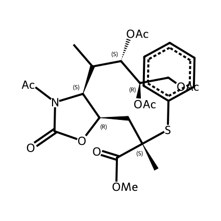 COC(=O)[C@](C)(C[C@H]1OC(=O)N(C(C)=O)[C@H]1C(C)[C@H](OC(C)=O)[C@@H](COC(C)=O)OC(C)=O)Sc1ccccc1